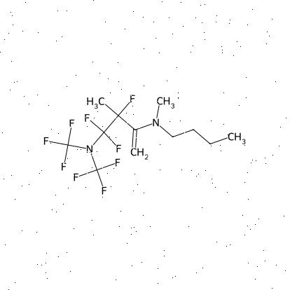 C=C(N(C)CCCC)C(C)(F)C(F)(F)N(C(F)(F)F)C(F)(F)F